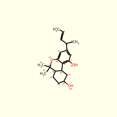 CC=CC(C)c1cc(O)c2c(c1)OC(C)(C)C1CCC(O)CC21